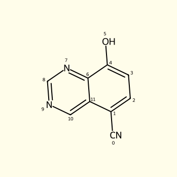 N#Cc1ccc(O)c2ncncc12